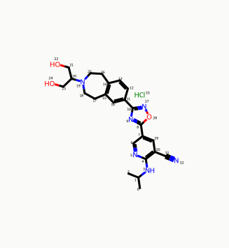 CC(C)Nc1ncc(-c2nc(-c3ccc4c(c3)CCN(C(CO)CO)CC4)no2)cc1C#N.Cl